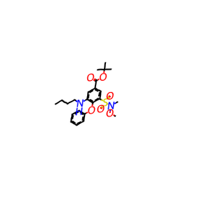 CCCCNc1cc(C(=O)OC(C)(C)C)cc(S(=O)(=O)N(C)OC)c1Oc1ccccc1